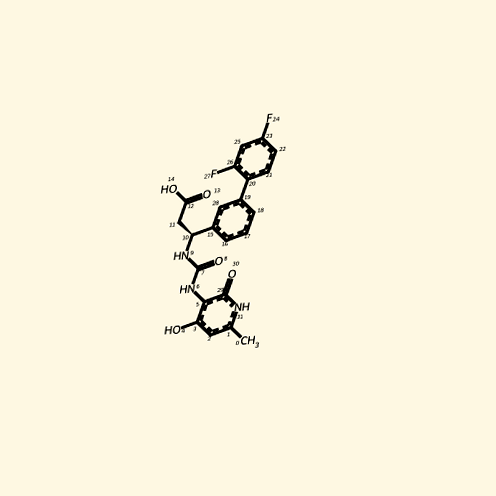 Cc1cc(O)c(NC(=O)N[C@@H](CC(=O)O)c2cccc(-c3ccc(F)cc3F)c2)c(=O)[nH]1